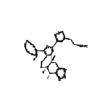 CC(=O)NCCc1cc(-c2nc(-c3ccccc3F)c3c(n2)[C@]2(C)Cc4cnoc4[C@H](C)[C@H]2CC3)ccn1